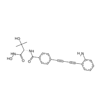 CC(C)(O)[C@H](NC(=O)c1ccc(C#CC#Cc2ccccc2N)cc1)C(=O)NO